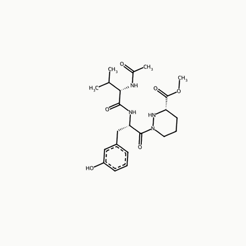 COC(=O)[C@@H]1CCCN(C(=O)[C@H](Cc2cccc(O)c2)NC(=O)[C@@H](NC(C)=O)C(C)C)N1